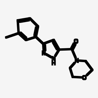 Cc1cccc(-c2cc(C(=O)N3CCOCC3)[nH]n2)c1